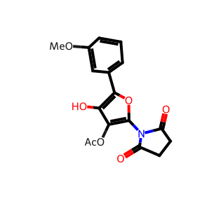 COc1cccc(-c2oc(N3C(=O)CCC3=O)c(OC(C)=O)c2O)c1